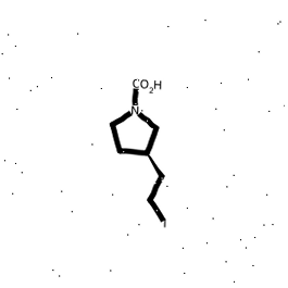 O=C(O)N1CC[C@H](CCI)C1